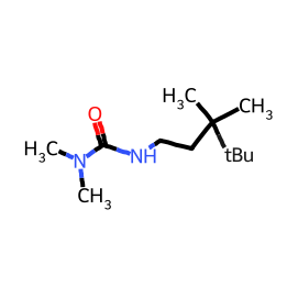 CN(C)C(=O)NCCC(C)(C)C(C)(C)C